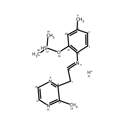 Cc1ccc(N=CCc2nccnc2C)c(O[SiH](C)C)c1.[H+]